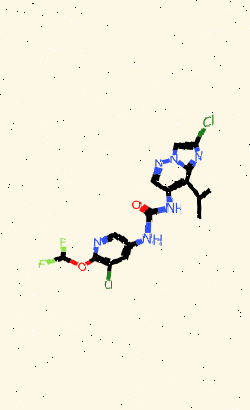 CC(C)c1c(NC(=O)Nc2cnc(OC(F)F)c(Cl)c2)cnn2cc(Cl)nc12